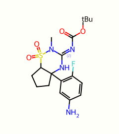 CN1/C(=N\C(=O)OC(C)(C)C)NC2(c3cc(N)ccc3F)CCCC2S1(=O)=O